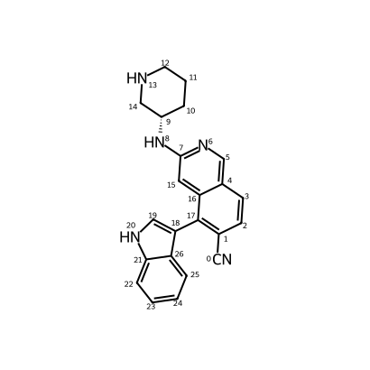 N#Cc1ccc2cnc(N[C@H]3CCCNC3)cc2c1-c1c[nH]c2ccccc12